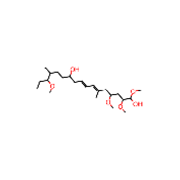 CCC(OC)C(C)CCC(O)C/C=C/C=C(\C)CC(CC(OC)C(O)OC)OC